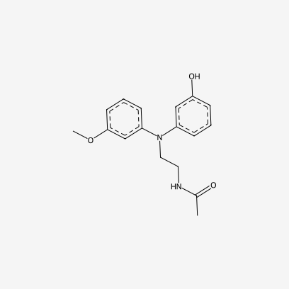 COc1cccc(N(CCNC(C)=O)c2cccc(O)c2)c1